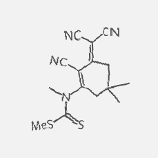 CSC(=S)N(C)C1=C(C#N)C(=C(C#N)C#N)CC(C)(C)C1